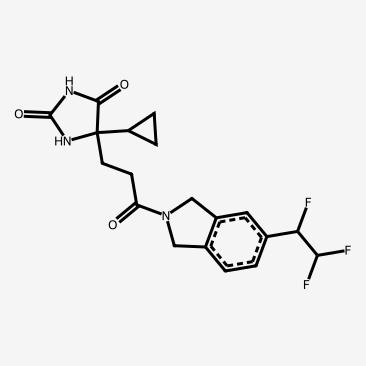 O=C1NC(=O)C(CCC(=O)N2Cc3ccc(C(F)C(F)F)cc3C2)(C2CC2)N1